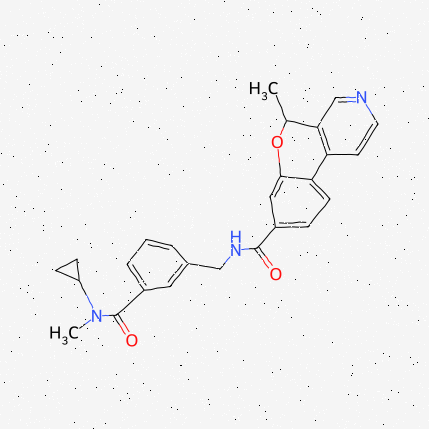 CC1Oc2cc(C(=O)NCc3cccc(C(=O)N(C)C4CC4)c3)ccc2-c2ccncc21